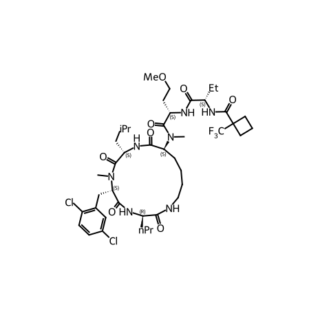 CCC[C@H]1NC(=O)[C@H](Cc2cc(Cl)ccc2Cl)N(C)C(=O)[C@H](CC(C)C)NC(=O)[C@@H](N(C)C(=O)[C@H](CCOC)NC(=O)[C@H](CC)NC(=O)C2(C(F)(F)F)CCC2)CCCCNC1=O